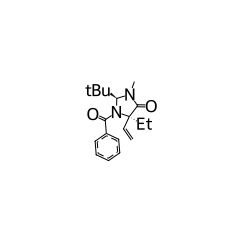 C=C[C@]1(CC)C(=O)N(C)[C@H](C(C)(C)C)N1C(=O)c1ccccc1